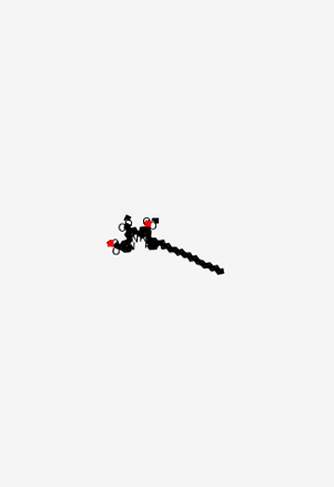 CCCCCCCCCCCCCCCCCCCc1ccnc(-c2cc(C(=O)OCC)cc(-c3cc(C(=O)OCC)cc(-c4cc(C(=O)OCC)ccn4)n3)n2)c1